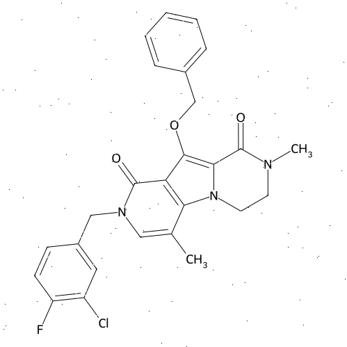 Cc1cn(Cc2ccc(F)c(Cl)c2)c(=O)c2c(OCc3ccccc3)c3n(c12)CCN(C)C3=O